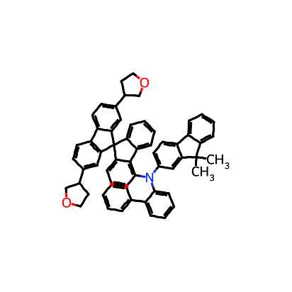 CC1(C)c2ccccc2-c2ccc(N(c3ccccc3-c3ccccc3)c3cccc4c3-c3ccccc3C43c4cc(C5CCOC5)ccc4-c4ccc(C5CCOC5)cc43)cc21